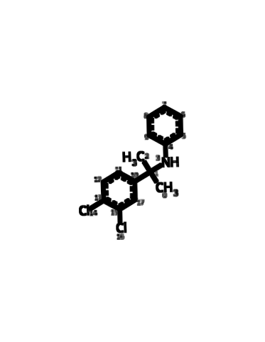 CC(C)(Nc1ccccc1)c1ccc(Cl)c(Cl)c1